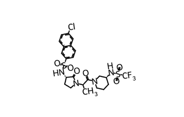 CC(C(=O)N1CCC[C@H](NS(=O)(=O)C(F)(F)F)C1)N1CC[C@H](NS(=O)(=O)c2ccc3cc(Cl)ccc3c2)C1=O